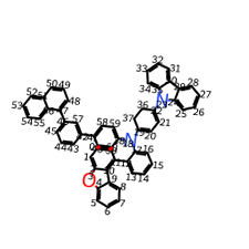 c1cc2oc3ccccc3c2c(-c2ccccc2N(C2=CC=C(n3c4ccccc4c4ccccc43)CC2)c2ccc(-c3cccc(-c4cccc5ccccc45)c3)cc2)c#1